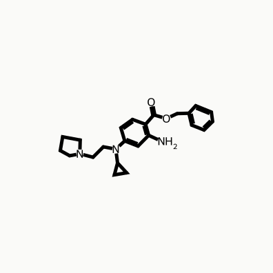 Nc1cc(N(CCN2CCCC2)C2CC2)ccc1C(=O)OCc1ccccc1